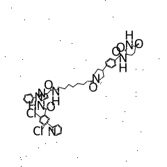 O=C1CCC(NC(=O)c2ccc(C3CCN(C(=O)CCCCCCCNC(=O)c4cc(NC(=O)c5cc(-c6ccccn6)c(Cl)cc5Cl)n(-c5ccccc5)n4)CC3)cc2)C(=O)N1